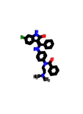 CN(C)CCN(C(=O)c1ccccc1)c1ccc(NC(=C2C(=O)Nc3cc(F)ccc32)c2ccccc2)cc1